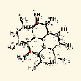 BBB(B)B(B(B)B)C(B(B(B(B)B)B(B)B)B(B(B)B)B(B)B)B(B(B(B)B)B(B)B)B(B(B)B)B(B)B